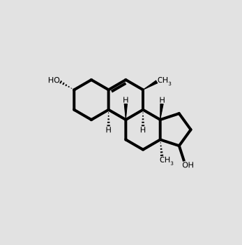 C[C@@H]1C=C2C[C@@H](O)CC[C@@H]2[C@H]2CC[C@]3(C)C(O)CC[C@H]3[C@@H]21